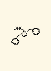 O=CC1N(Cc2ccccc2)C=CN1Cc1ccccc1